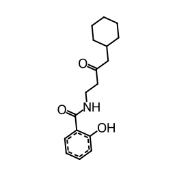 O=C(CCNC(=O)c1ccccc1O)CC1CCCCC1